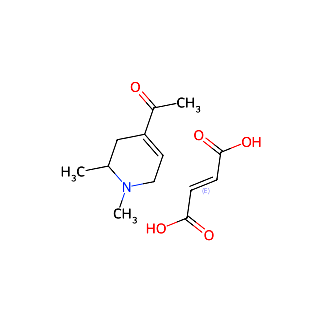 CC(=O)C1=CCN(C)C(C)C1.O=C(O)/C=C/C(=O)O